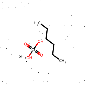 CCCCCC.[O]=[Cr](=[O])([OH])[OH].[SiH4]